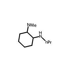 CCCNC1CCCCC1NC